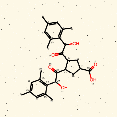 Cc1cc(C)c(C(O)C(=O)C2CC(C(=O)O)CC2C(=O)C(O)c2c(C)cc(C)cc2C)c(C)c1